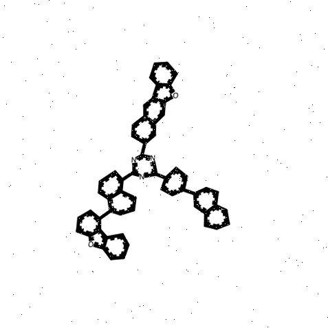 c1ccc2cc(-c3ccc(-c4nc(-c5ccc6cc7c(cc6c5)oc5ccccc57)nc(-c5cccc6c(-c7cccc8oc9ccccc9c78)cccc56)n4)cc3)ccc2c1